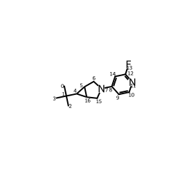 CC(C)(C)C1C2CN(c3ccnc(F)c3)CC21